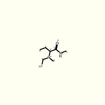 CCC(C(=O)NC)N(C)CI